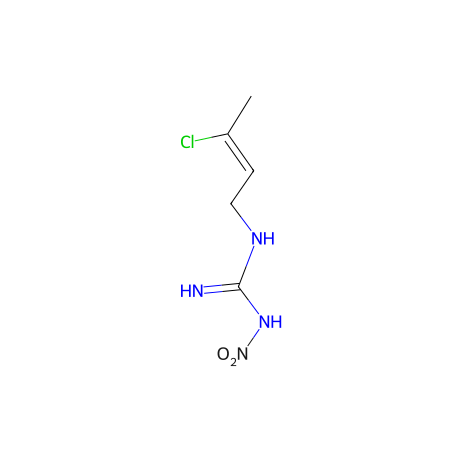 C/C(Cl)=C/CNC(=N)N[N+](=O)[O-]